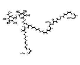 CCCCC/C=C\C/C=C\CCCCCCCC(=O)OC[C@H](CO[C@@H]1O[C@H](CO[C@H]2O[C@H](CO)[C@H](O)C(O)C2O)[C@H](O)C(O)C1O)OC(=O)CCCCCCC/C=C\C/C=C\C[C@@H](CCC)OC(=O)CCCCCCC/C=C\C/C=C\CCCCC